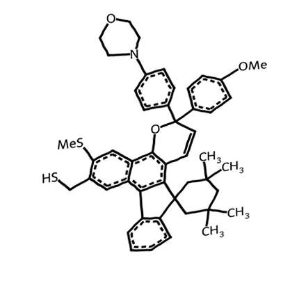 COc1ccc(C2(c3ccc(N4CCOCC4)cc3)C=Cc3c4c(c5cc(CS)c(SC)cc5c3O2)-c2ccccc2C42CC(C)(C)CC(C)(C)C2)cc1